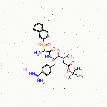 CN(CC(=O)OC(C)(C)C)C(=O)[C@H](Cc1ccc(C(=N)N)cc1)NC(=O)C(N)S(=O)(=O)c1ccc2ccccc2c1.I